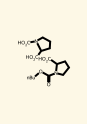 CCCCOC(=O)N1CCCC1C(=O)O.O=C(O)C1CCCN1C(=O)O